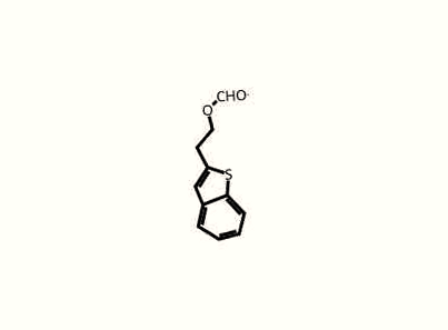 O=[C]OCCc1cc2ccccc2s1